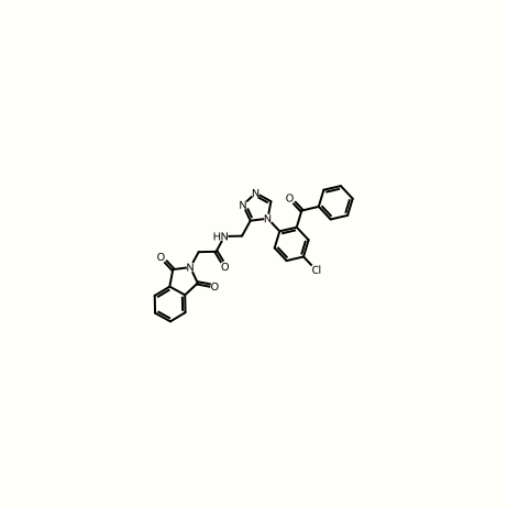 O=C(CN1C(=O)c2ccccc2C1=O)NCc1nncn1-c1ccc(Cl)cc1C(=O)c1ccccc1